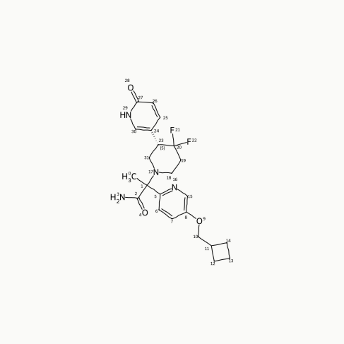 CC(C(N)=O)(c1ccc(OCC2CCC2)cn1)N1CCC(F)(F)[C@@H](c2ccc(=O)[nH]c2)C1